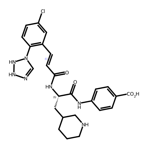 O=C(/C=C/c1cc(Cl)ccc1N1C=NNN1)N[C@@H](CC1CCCNC1)C(=O)Nc1ccc(C(=O)O)cc1